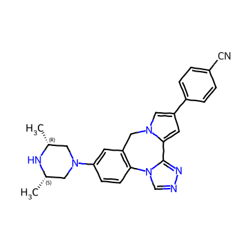 C[C@@H]1CN(c2ccc3c(c2)Cn2cc(-c4ccc(C#N)cc4)cc2-c2nncn2-3)C[C@H](C)N1